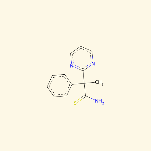 CC(C(N)=S)(c1ccccc1)c1ncccn1